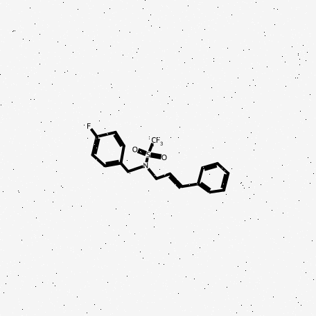 O=S(=O)(N(CC=Cc1ccccc1)Cc1ccc(F)cc1)C(F)(F)F